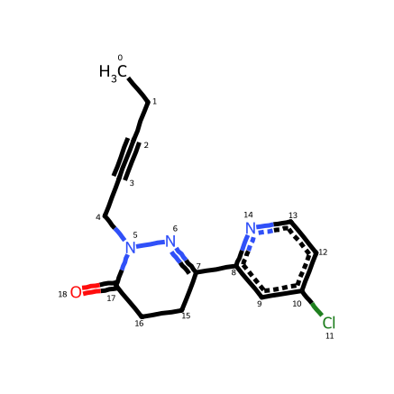 CCC#CCN1N=C(c2cc(Cl)ccn2)CCC1=O